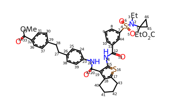 CCOC(=O)C1(N(CC)S(=O)(=O)c2cccc(C(=O)Nc3sc4c(c3C(=O)Nc3ccc(CCc5ccc(C(=O)OC)cc5)cc3)CCCC4)c2)CC1